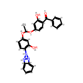 CCC(Oc1ccc(C(=O)c2ccccc2)c(O)c1)Oc1ccc(-n2n3c4ccccc4n23)c(O)c1